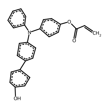 C=CC(=O)Oc1ccc(N(c2ccccc2)c2ccc(-c3ccc(O)cc3)cc2)cc1